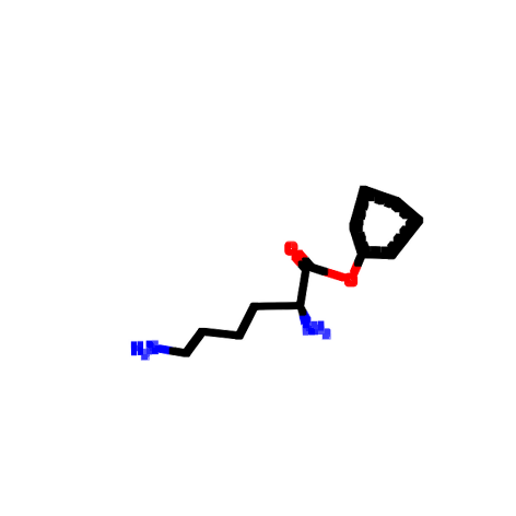 NCCCC[C@H](N)C(=O)Oc1ccccc1